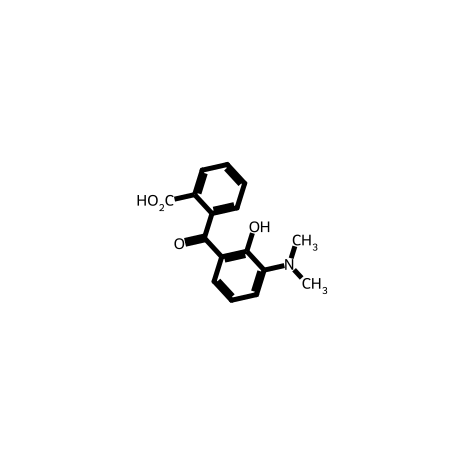 CN(C)c1cccc(C(=O)c2ccccc2C(=O)O)c1O